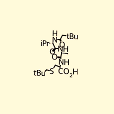 CC(C)[C@H](NC(=O)CC(C)(C)C)C(=O)N[C@@H](C)C(=O)NC(CSCC(C)(C)C)C(=O)O